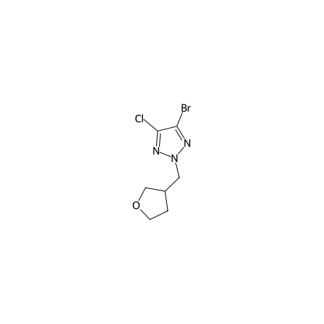 Clc1nn(CC2CCOC2)nc1Br